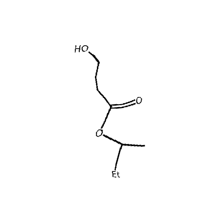 CCC(C)OC(=O)CCO